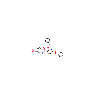 O=Cc1ccc2oc(-c3ccc(OCc4ccccc4)nc3OCc3ccccc3)nc2c1